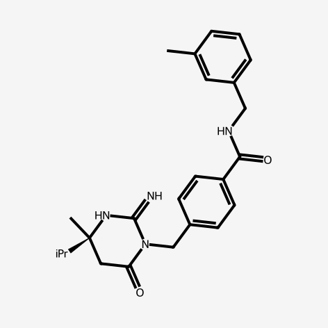 Cc1cccc(CNC(=O)c2ccc(CN3C(=N)N[C@](C)(C(C)C)CC3=O)cc2)c1